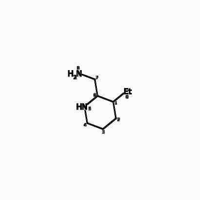 CCC1CCCNC1CN